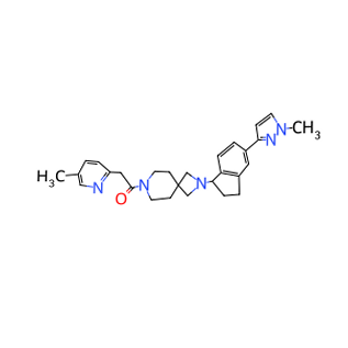 Cc1ccc(CC(=O)N2CCC3(CC2)CN(C2CCc4cc(-c5ccn(C)n5)ccc42)C3)nc1